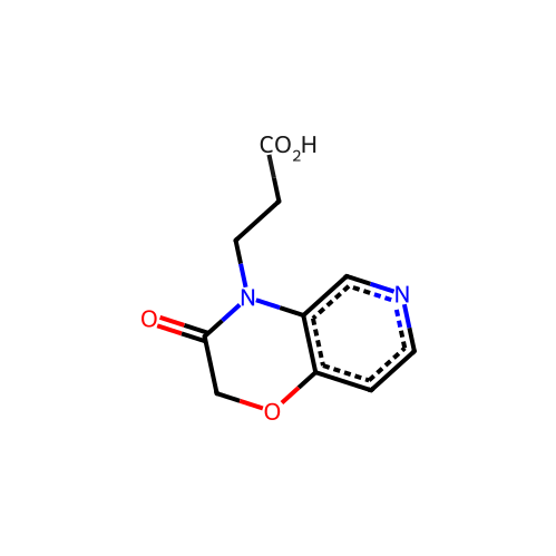 O=C(O)CCN1C(=O)COc2ccncc21